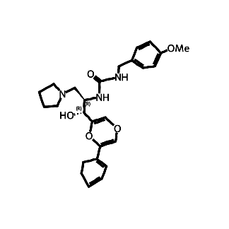 COc1ccc(CNC(=O)N[C@H](CN2CCCC2)[C@@H](O)C2=COC=C(C3=CC=CCC3)O2)cc1